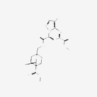 COC(=O)c1cc(C(=O)NCC23CCC(C(=O)OC)(CC2)C(C)C3)n2ncc(F)c2n1